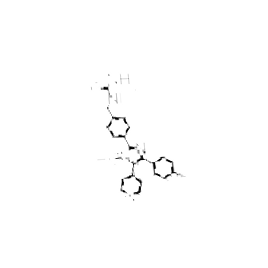 NC(=O)NCc1ccc(-c2nc(-c3ccc(F)cc3)c(-c3ccncc3)n2O)cc1